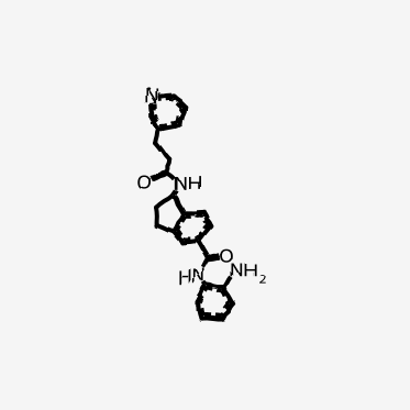 Nc1ccccc1NC(=O)c1ccc2c(c1)CCC2NC(=O)CCc1cccnc1